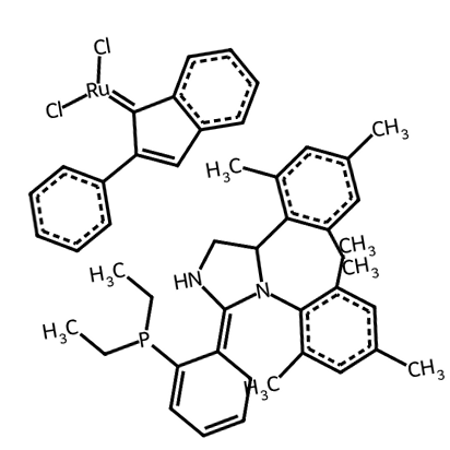 CCP(CC)C1=CC=CCC1=C1NCC(c2c(C)cc(C)cc2C)N1c1c(C)cc(C)cc1C.[Cl][Ru]([Cl])=[C]1C(c2ccccc2)=Cc2ccccc21